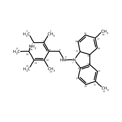 CC/C(C)=C(CNN1c2ccc(C)cc2C2C=C(C)C=CC21)\C(C)=C(\C)C(C)N